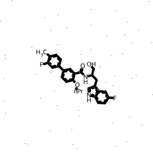 CCCOc1ccc(-c2ccc(C)c(F)c2)cc1C(=O)NC(CO)Cc1c[nH]c2ccc(F)cc12